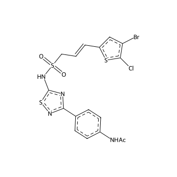 CC(=O)Nc1ccc(-c2nsc(NS(=O)(=O)CC=Cc3cc(Br)c(Cl)s3)n2)cc1